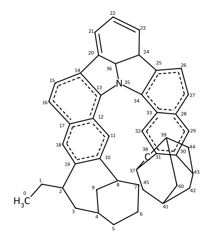 CCC1CC2CCCC(C2)c2cc3c4c(ccc3cc21)C1=CC=CC2c3ccc5cc6c(cc5c3N4C12)C1CC2CC(CC6C2)C1